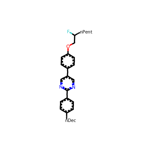 CCCCCCCCCCc1ccc(-c2ncc(-c3ccc(OCC(F)CCCCC)cc3)cn2)cc1